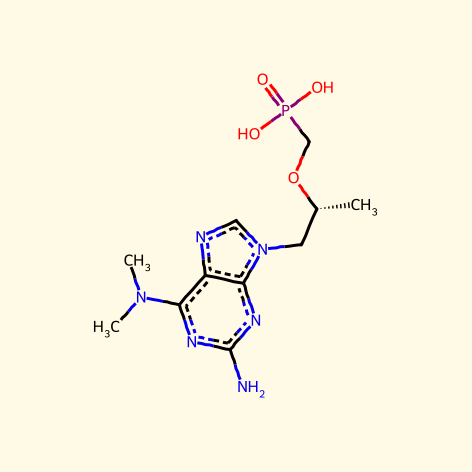 C[C@H](Cn1cnc2c(N(C)C)nc(N)nc21)OCP(=O)(O)O